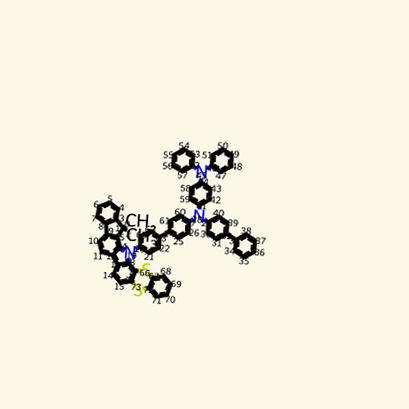 CC1(C)c2ccccc2-c2ccc3c4ccc5c(c4n(-c4ccc(-c6ccc(N(c7ccc(-c8ccccc8)cc7)c7ccc(N(c8ccccc8)c8ccccc8)cc7)cc6)cc4)c3c21)Sc1ccccc1S5